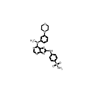 CN(c1cccc(N2CCOCC2)c1)c1ncnc2nc(Nc3ccc(S(N)(=O)=O)cc3)sc12